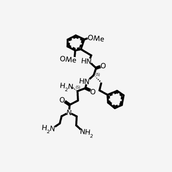 COc1cccc(OC)c1CNC(=O)[C@H](CCc1ccccc1)NC(=O)[C@@H](N)CC(=O)N(CCN)CCN